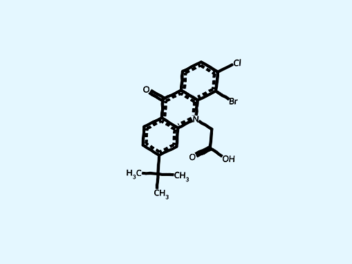 CC(C)(C)c1ccc2c(=O)c3ccc(Cl)c(Br)c3n(CC(=O)O)c2c1